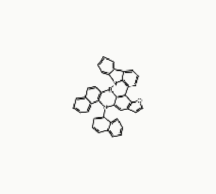 c1ccc2c(N3c4cc5ccoc5c5c4B(c4ccc6ccccc6c43)n3c4ccccc4c4cccc-5c43)cccc2c1